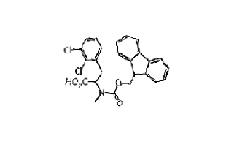 CN(C(=O)OCC1c2ccccc2-c2ccccc21)C(Cc1cccc(Cl)c1Cl)C(=O)O